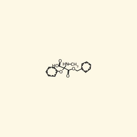 CNC(Oc1ccccc1)(C(=O)O)C(=O)OCc1ccccc1